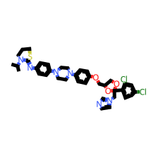 CC(C)N1CCCSC1=Nc1ccc(N2CCN(c3ccc(OCC4COC(Cn5ccnc5)(c5ccc(Cl)cc5Cl)O4)cc3)CC2)cc1